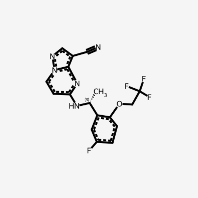 C[C@@H](Nc1ccn2ncc(C#N)c2n1)c1cc(F)ccc1OCC(F)(F)F